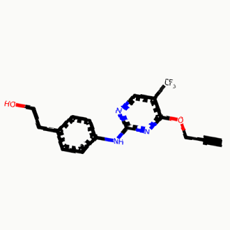 C#CCOc1nc(Nc2ccc(CCO)cc2)ncc1C(F)(F)F